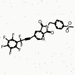 CS(=O)(=O)c1ccc(CN2C(=O)c3cc(C#CC(F)(F)c4c(F)c(F)c(F)c(F)c4F)cnc3C2=O)cc1